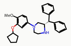 COc1ccc(N2CCN[C@@H](C(c3ccccc3)c3ccccc3)C2)cc1OC1CCCC1